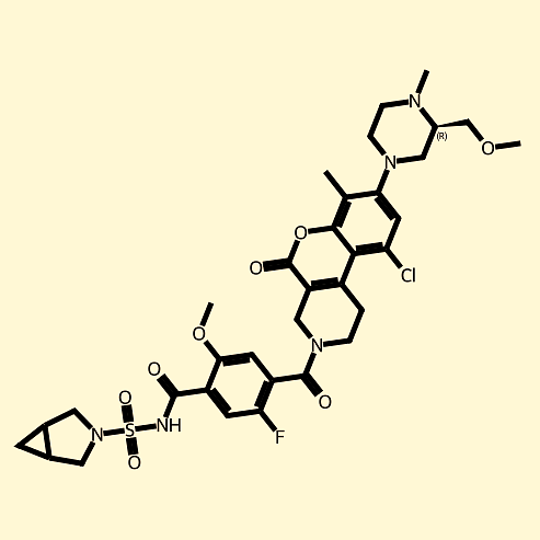 COC[C@H]1CN(c2cc(Cl)c3c4c(c(=O)oc3c2C)CN(C(=O)c2cc(OC)c(C(=O)NS(=O)(=O)N3CC5CC5C3)cc2F)CC4)CCN1C